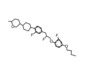 CCCCOc1ccc(OCC(F)Cc2ccc(C3CCC(C4CCC(C)OC4)CC3)c(F)c2)c(F)c1